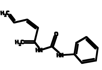 C=C/C=C\C(=C)NC(=O)Nc1ccccc1